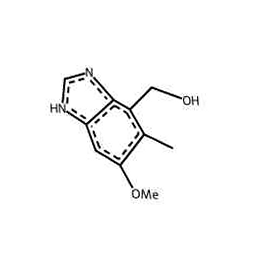 COc1cc2[nH]cnc2c(CO)c1C